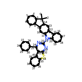 CC1(C)c2ccccc2-c2cc3c(cc21)c1ccccc1n3-c1nc(-c2ccccc2)c2c(n1)sc1ccccc12